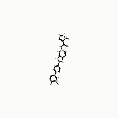 Cc1ccc(-c2ccc(-c3nc4ccn(CC(=O)c5ccnn5C)cc-4n3)cc2)cc1C